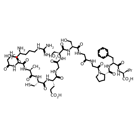 CC(C)[C@H](NC(=O)[C@H](Cc1ccccc1)NC(=O)[C@@H]1CCCN1C(=O)CNC(=O)CNC(=O)[C@H](CO)NC(=O)[C@H](CC(=O)O)NC(=O)CNC(=O)[C@H](CCC(=O)O)NC(=O)[C@H](CS)NC(=O)[C@H](C)NC(=O)[C@H](CC(=O)O)NC(=O)CNC(=O)[C@@H](N)CCCNC(=N)N)C(=O)O